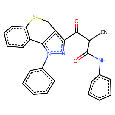 N#CC(C(=O)Nc1ccccc1)C(=O)c1nn(-c2ccccc2)c2c1CSc1ccccc1-2